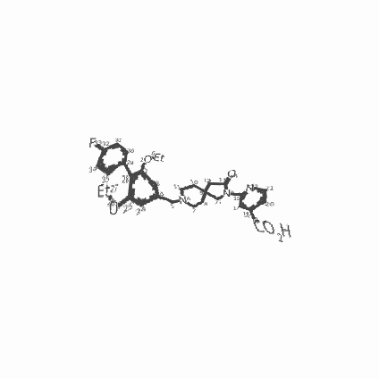 CCOc1cc(CN2CCC3(CC2)CC(=O)N(c2cc(C(=O)O)ccn2)C3)cc(OCC)c1-c1ccc(F)cc1